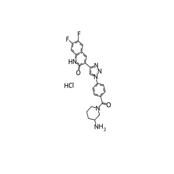 Cl.NC1CCCN(C(=O)c2ccc(-n3cc(-c4cc5cc(F)c(F)cc5[nH]c4=O)nn3)cc2)C1